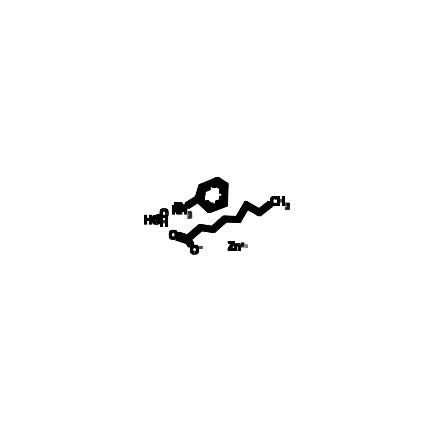 CC(C)c1ccccc1.CCCCCCCC(=O)[O-].N.OO.[Zn+]